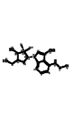 CCONc1ncnc2c1c(C=O)cn2[C@@H]1OC(CO)C(O)[C@@]1(C)F